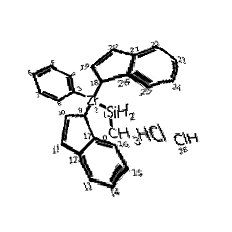 C[SiH2][Zr]([c]1ccccc1)([CH]1C=Cc2ccccc21)[CH]1C=Cc2ccccc21.Cl.Cl